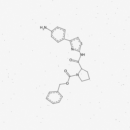 Nc1ccc(-c2csc(NC(=O)C3CCCN3C(=O)OCc3ccccc3)n2)cc1